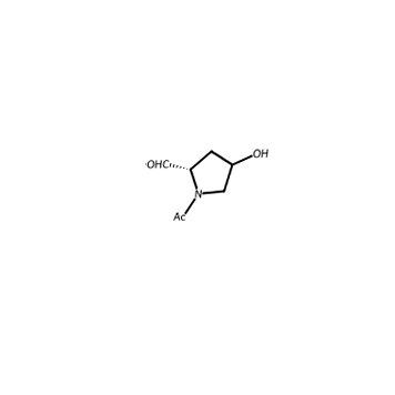 CC(=O)N1CC(O)C[C@H]1[C]=O